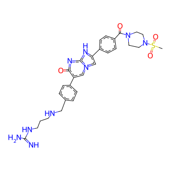 CS(=O)(=O)N1CCN(C(=O)c2ccc(-c3cn4cc(-c5ccc(CNCCCNC(=N)N)cc5)c(=O)nc4[nH]3)cc2)CC1